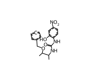 CC(NC(=O)Nc1ccc([N+](=O)[O-])cc1O)C(C)OCc1ccccc1